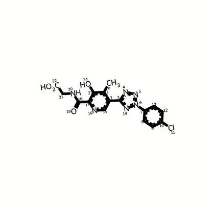 Cc1c(-c2nnn(-c3ccc(Cl)cc3)n2)cnc(C(=O)NCC(=O)O)c1O